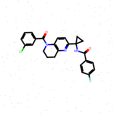 O=C(NC1(c2ccc3c(n2)CCCN3C(=O)c2cccc(Cl)c2)CC1)c1ccc(F)cc1